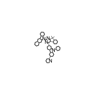 CC1(C)c2ccccc2-c2c(-c3ccc4c5cc(-c6ccccn6)ccc5n(-c5ccccc5)c4c3)nc(-n3c4ccccc4c4cc5ccccc5cc43)nc21